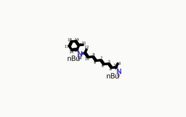 CCCC\N=C(C)/C=C/C=C/C=C/C=C(\C)N(CCCC)c1ccccc1C